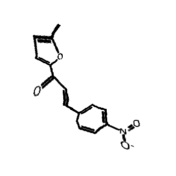 Cc1ccc(C(=O)/C=C/c2ccc([N+](=O)[O-])cc2)o1